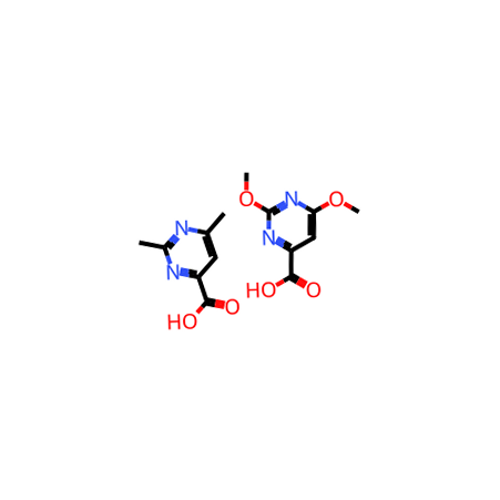 COc1cc(C(=O)O)nc(OC)n1.Cc1cc(C(=O)O)nc(C)n1